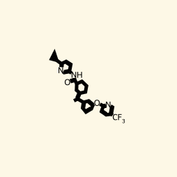 C/C(=C1/CCCC(C(=O)Nc2ccc(C3CC3)nc2)C1)c1cccc(Oc2ccc(C(F)(F)F)cn2)c1